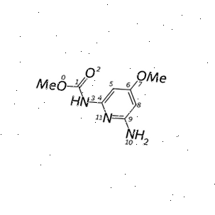 COC(=O)Nc1cc(OC)cc(N)n1